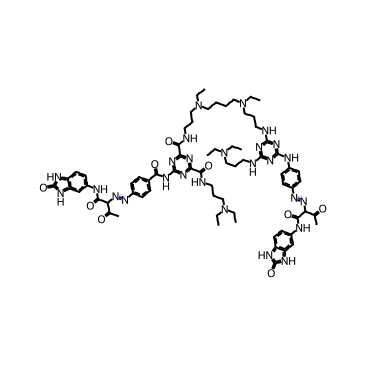 CCN(CC)CCCNC(=O)c1nc(NC(=O)c2ccc(/N=N/C(C(C)=O)C(=O)Nc3ccc4[nH]c(=O)[nH]c4c3)cc2)nc(C(=O)NCCCN(CC)CCCCN(CC)CCCNc2nc(NCCCN(CC)CC)nc(Nc3ccc(/N=N/C(C(C)=O)C(=O)Nc4ccc5[nH]c(=O)[nH]c5c4)cc3)n2)n1